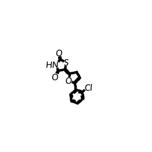 O=C1NC(=O)C(=C2CC=C(c3ccccc3Cl)O2)S1